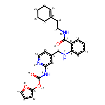 O=C(Nc1cc(CNc2ccccc2C(=O)NCCC2=CCCCC2)ccn1)Oc1ccco1